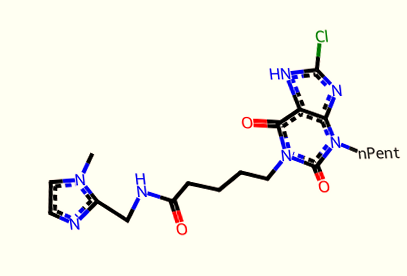 CCCCCn1c(=O)n(CCCCC(=O)NCc2nccn2C)c(=O)c2[nH]c(Cl)nc21